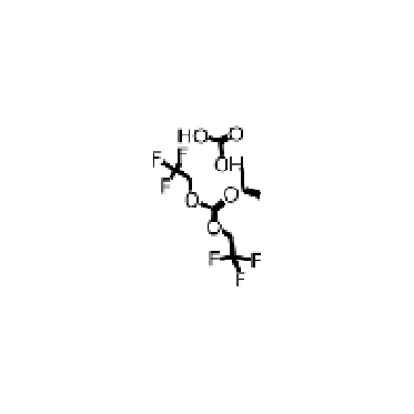 C=CC.O=C(O)O.O=C(OCC(F)(F)F)OCC(F)(F)F